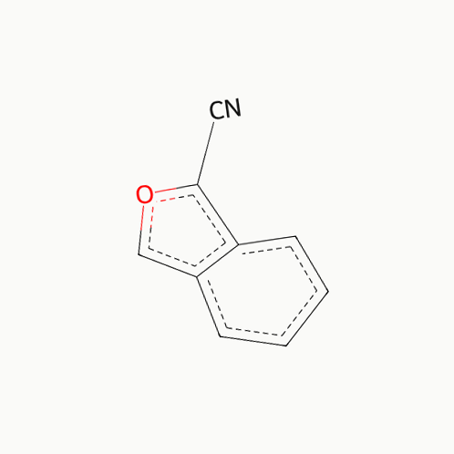 N#Cc1occ2ccccc12